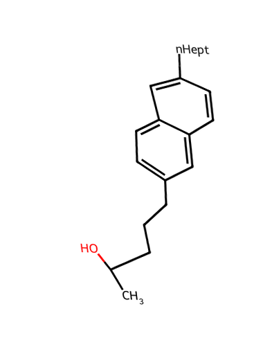 CCCCCCCc1ccc2cc(CCCC(C)O)ccc2c1